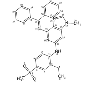 CCc1cc(S(C)(=O)=O)ccc1Nc1cc2c(ncn2C)c(N=C(c2ccccc2)c2ccccc2)n1